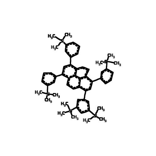 C[Si](C)(C)c1cccc(-c2cc(-c3cccc([Si](C)(C)C)c3)c3ccc4c(-c5cc([Si](C)(C)C)cc([Si](C)(C)C)c5)cc(-c5cccc([Si](C)(C)C)c5)c5ccc2c3c54)c1